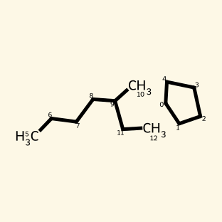 C1CCCC1.CCCCC(C)CC